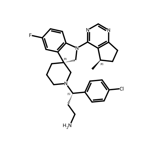 C[C@@H]1CCc2ncnc(N3C[C@]4(CCCN([C@@H](CCN)c5ccc(Cl)cc5)C4)c4cc(F)ccc43)c21